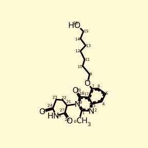 Cc1nc2cccc(OCCCCCCCO)c2c(=O)n1C1CCC(=O)NC1=O